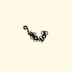 CC(=Cc1ccc(S(C)(=O)=O)cc1)C(=O)Nc1ccc(S(=O)(=O)N2CCN(CCc3ccccc3)CC2)cc1